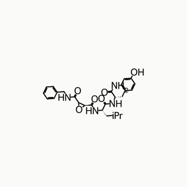 CC(C)C[C@H](NC(=O)[C@H]1OC1C(=O)NCc1ccccc1)C(=O)N[C@@H](Cc1ccc(O)cc1)C(N)=O